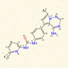 CC(=O)c1cc(-c2ccc(NC(=O)Nc3cccc(C(F)(F)F)n3)cc2)c2c(N)ncnn12